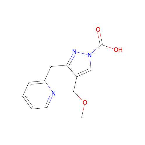 COCc1cn(C(=O)O)nc1Cc1ccccn1